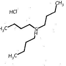 CCCC[SiH](CCCC)CCCC.Cl